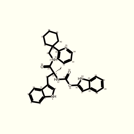 C[C@@](Cc1c[nH]c2ccccc12)(NC(=O)Oc1cc2ccccc2[nH]1)C(=O)NCC1(c2ccccn2)CCCCC1